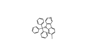 Ic1ccc2c3cnccc3n(C(c3ccccc3)(c3ccccc3)c3ccccc3)c2n1